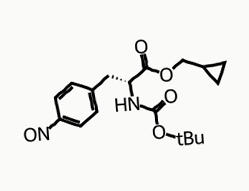 CC(C)(C)OC(=O)N[C@H](Cc1ccc(N=O)cc1)C(=O)OCC1CC1